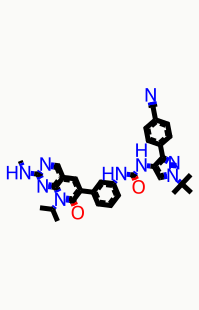 CNc1ncc2cc(-c3cccc(NC(=O)Nc4cn(C(C)(C)C)nc4-c4ccc(C#N)cc4)c3)c(=O)n(C(C)C)c2n1